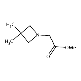 COC(=O)CN1CC(C)(C)C1